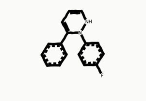 Fc1ccc(N2NC=CC=C2c2ccccc2)cc1